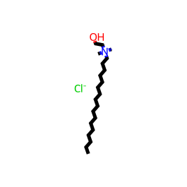 CCCCCCCCCCCCCCCCC[N+](C)(C)CCO.[Cl-]